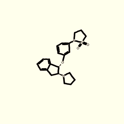 O=S1(=O)CCCN1c1cccc(O[C@H]2c3ccccc3C[C@@H]2N2CCCC2)c1